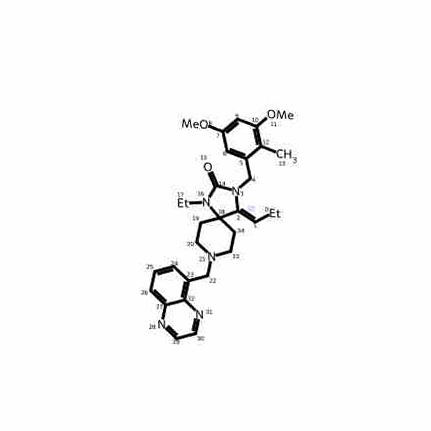 CC/C=C1\N(Cc2cc(OC)cc(OC)c2C)C(=O)N(CC)C12CCN(Cc1cccc3nccnc13)CC2